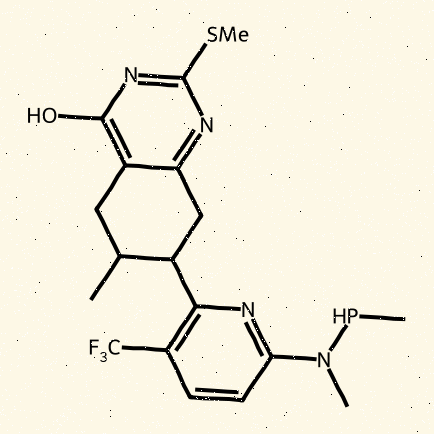 CPN(C)c1ccc(C(F)(F)F)c(C2Cc3nc(SC)nc(O)c3CC2C)n1